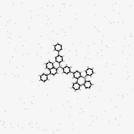 c1ccc(-c2ccc(N(c3ccc(-c4ccc5c(c4)-c4ccccc4-c4ccccc4N5c4ccccc4)cc3)c3ccc(-c4ccccc4)c4ccccc34)cc2)cc1